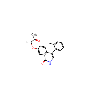 COC(=O)[C@@H](C)Oc1ccc2c(-c3ccccc3C)c[nH]c(=O)c2c1